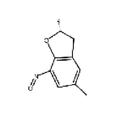 Cc1cc2c(c(N=O)c1)O[C@H](C)C2